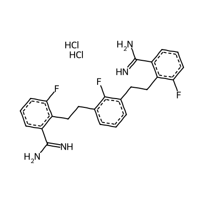 Cl.Cl.N=C(N)c1cccc(F)c1CCc1cccc(CCc2c(F)cccc2C(=N)N)c1F